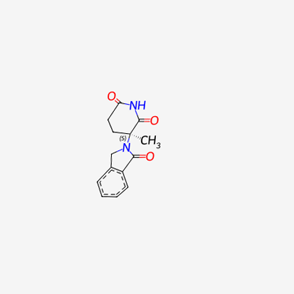 C[C@]1(N2Cc3ccccc3C2=O)CCC(=O)NC1=O